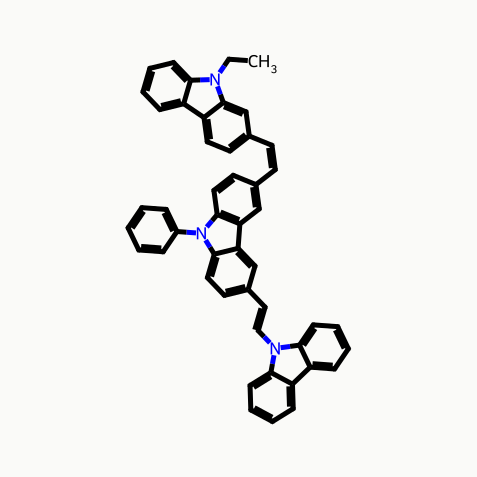 CCn1c2ccccc2c2ccc(/C=C\c3ccc4c(c3)c3cc(/C=C/n5c6ccccc6c6ccccc65)ccc3n4-c3ccccc3)cc21